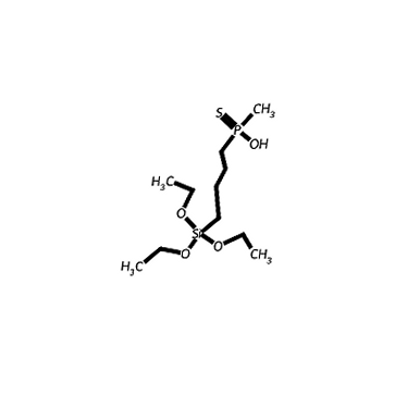 CCO[Si](CCCCP(C)(O)=S)(OCC)OCC